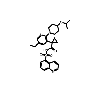 CCc1cnc(N2CCC(OC(C)C)CC2)c(C2(C(=O)NS(=O)(=O)c3cccc4ncccc34)CC2)c1